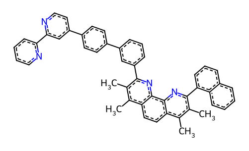 Cc1c(-c2cccc(-c3ccc(-c4ccnc(-c5ccccn5)c4)cc3)c2)nc2c(ccc3c(C)c(C)c(-c4cccc5ccccc45)nc32)c1C